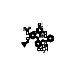 O=C(O)c1ccc([C@@H](Cc2c(Cl)c[n+]([O-])cc2Cl)c2ccc(OC(F)F)c(OCC3CC3)c2)c(CNc2ccccc2O)c1O